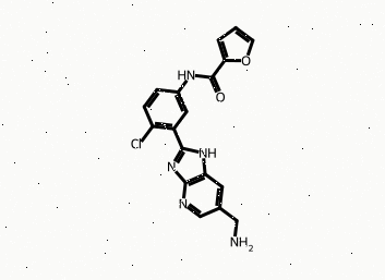 NCc1cnc2nc(-c3cc(NC(=O)c4ccco4)ccc3Cl)[nH]c2c1